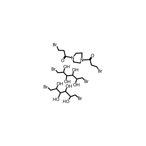 O=C(CCBr)N1CCN(C(=O)CCBr)CC1.OC(CBr)C(O)C(O)C(O)CBr.OC(CBr)C(O)C(O)C(O)CBr